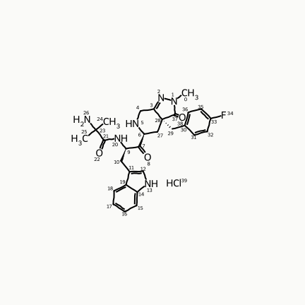 CN1N=C2CN[C@H](C(=O)[C@@H](Cc3c[nH]c4ccccc34)NC(=O)C(C)(C)N)C[C@]2(Cc2ccc(F)cc2)C1=O.Cl